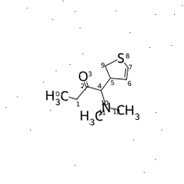 CCC(=O)C(C1C=CSC1)N(C)C